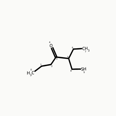 CCCC(=O)C(CC)CS